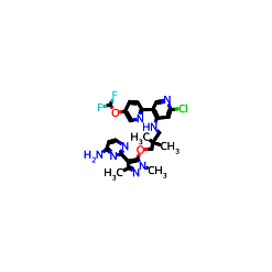 Cc1nn(C)c(OCC(C)(C)CNc2cc(Cl)ncc2-c2ccc(OC(F)F)cn2)c1-c1nccc(N)n1